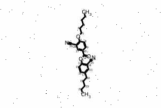 CCCCCCOc1ccc(C(=O)Oc2ccc(CCCCC)cc2C#N)cc1C#N